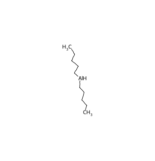 CCCC[CH2][AlH][CH2]CCCC